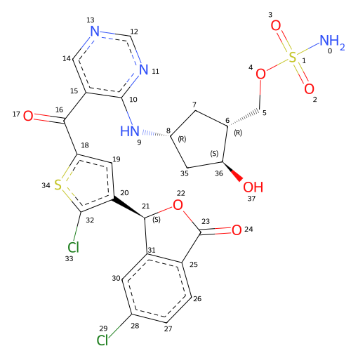 NS(=O)(=O)OC[C@H]1C[C@@H](Nc2ncncc2C(=O)c2cc([C@H]3OC(=O)c4ccc(Cl)cc43)c(Cl)s2)C[C@@H]1O